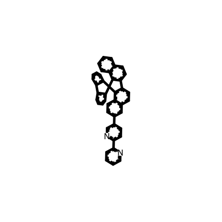 c1ccc(-c2ccc(-c3ccc4c5c(ccc4c3)-c3ccc4ccccc4c3C53c4ccccc4-c4ccccc43)cn2)nc1